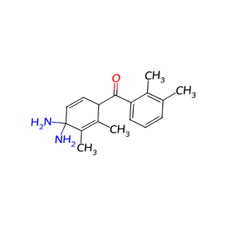 CC1=C(C)C(N)(N)C=CC1C(=O)c1cccc(C)c1C